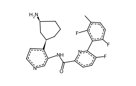 Cc1ccc(F)c(-c2nc(C(=O)Nc3cnccc3[C@@H]3CCC[C@H](N)C3)ccc2F)c1F